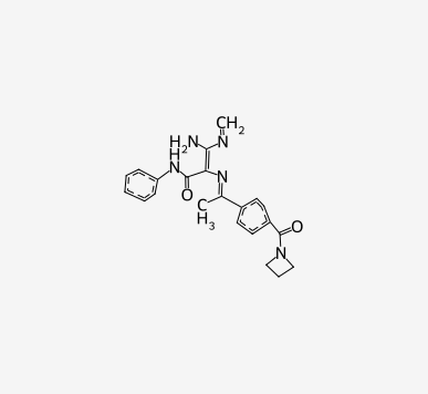 C=N/C(N)=C(\N=C(/C)c1ccc(C(=O)N2CCC2)cc1)C(=O)Nc1ccccc1